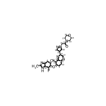 Cc1nc2ccc(Oc3ccc4ncc(-c5cnn(CC(=O)N6CCOCC6)c5)nc4c3Cl)c(F)c2[nH]1